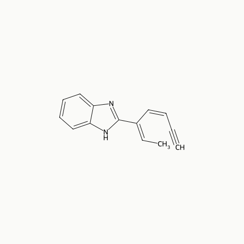 C#C/C=C\C(=C/C)c1nc2ccccc2[nH]1